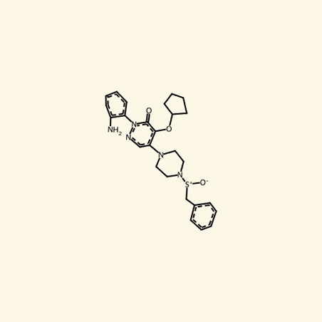 Nc1ccccc1-n1ncc(N2CCN([S+]([O-])Cc3ccccc3)CC2)c(OC2CCCC2)c1=O